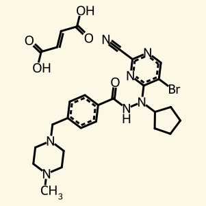 CN1CCN(Cc2ccc(C(=O)NN(c3nc(C#N)ncc3Br)C3CCCC3)cc2)CC1.O=C(O)C=CC(=O)O